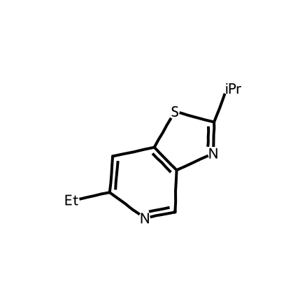 CCc1cc2sc(C(C)C)nc2cn1